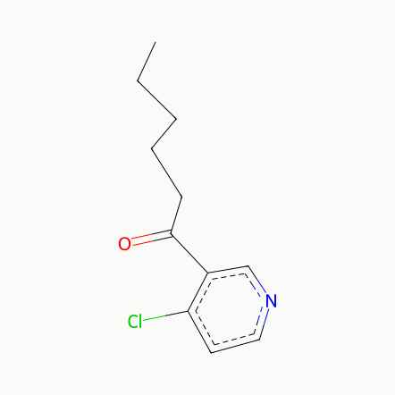 CCCCCC(=O)c1cnccc1Cl